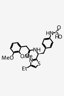 CCc1csc([C@H](Cc2ccc(N[SH](=O)=O)cc2)NC(=O)Cc2cccc(OC)c2OC)n1